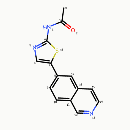 CC(=O)Nc1ncc(-c2ccc3cnccc3c2)s1